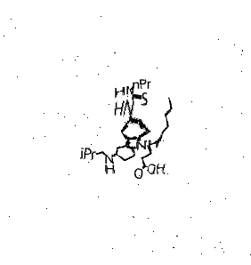 CCCCCCCCCC(=O)O.CCCNC(=S)Nc1ccc2[nH]c3c(c2c1)CC(NCC(C)C)CC3